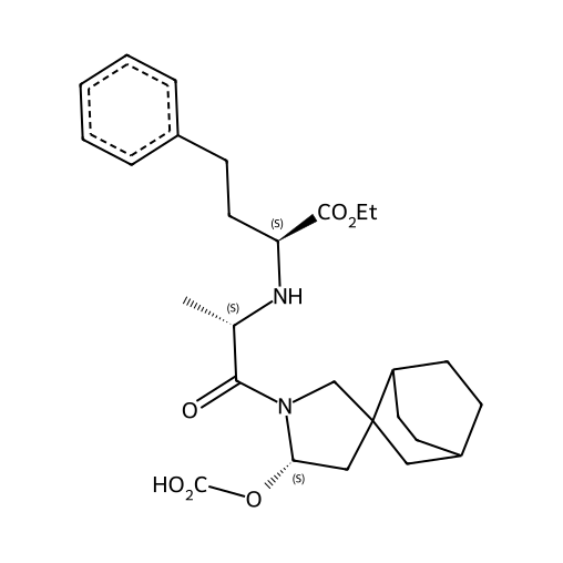 CCOC(=O)[C@H](CCc1ccccc1)N[C@@H](C)C(=O)N1CC2(CC3CCC2CC3)C[C@@H]1OC(=O)O